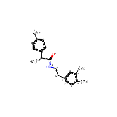 COc1ccc(C(C(=O)O)C(=O)NCCc2ccc(OC)c(OC)c2)cc1